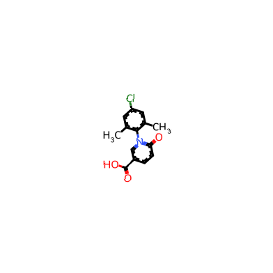 Cc1cc(Cl)cc(C)c1-n1cc(C(=O)O)ccc1=O